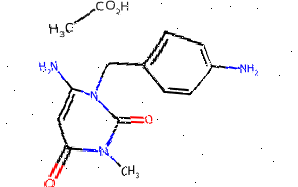 CC(=O)O.Cn1c(=O)cc(N)n(Cc2ccc(N)cc2)c1=O